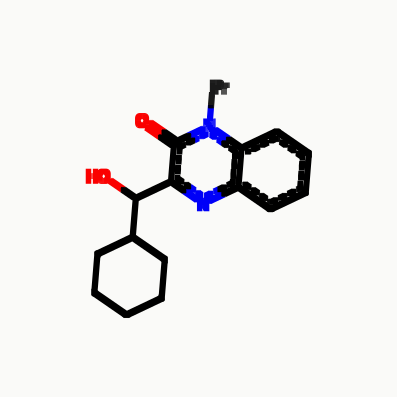 CC(C)n1c(=O)c(C(O)C2CCCCC2)nc2ccccc21